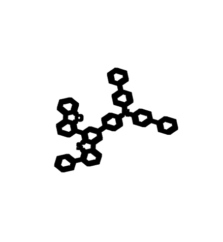 c1ccc(-c2ccc(N(c3ccc(-c4ccccc4)cc3)c3ccc(-c4cc(-c5cccc6c5oc5ccccc56)c5sc6c(-c7ccccc7)cccc6c5c4)cc3)cc2)cc1